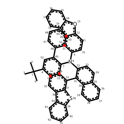 CC(C)(C)c1ccc(N(c2ccc3oc4ccccc4c3c2)c2ccc3ccccc3c2-c2cccc3c2sc2ccccc23)c(-c2ccccc2)c1